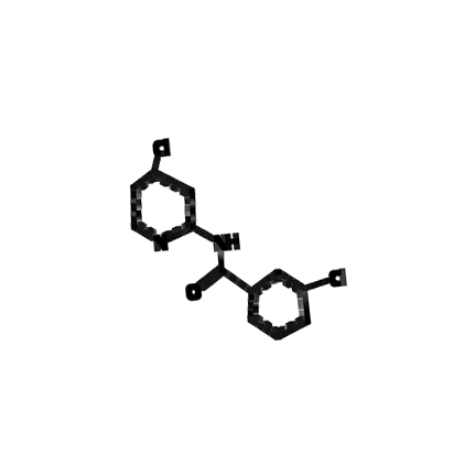 O=C(Nc1cc(Cl)ccn1)c1cccc(Cl)c1